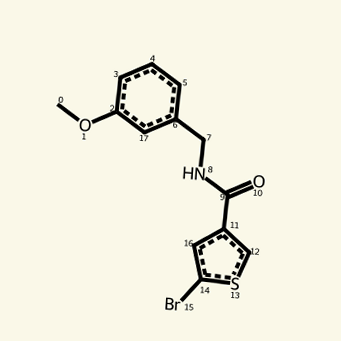 COc1cccc(CNC(=O)c2csc(Br)c2)c1